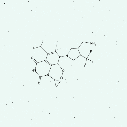 COC1c2c(c(=O)[nH]c(=O)n2C2CC2)C(C(F)F)=C(F)C1N1CC(CN)C(C(F)(F)F)C1